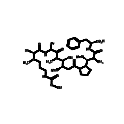 CC[C@H](C)[C@@H]([C@@H](CC(=O)N1CCC[C@@H]1[C@H](OC)C(C)C(=O)N[C@@H](Cc1ccccc1)C(=O)O)OC)N(C)C(=O)[C@@H](NC(=O)[C@H](C(C)C)N(C)CCCNC(=O)OC(C)(C)C)C(C)C